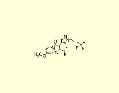 COc1ccn2c(=O)c(-c3cnn(CCCC(F)(F)F)c3)c(C(F)F)nc2c1